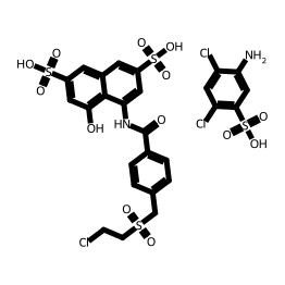 Nc1cc(S(=O)(=O)O)c(Cl)cc1Cl.O=C(Nc1cc(S(=O)(=O)O)cc2cc(S(=O)(=O)O)cc(O)c12)c1ccc(CS(=O)(=O)CCCl)cc1